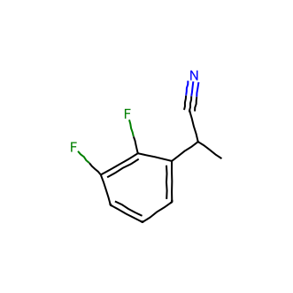 CC(C#N)c1cccc(F)c1F